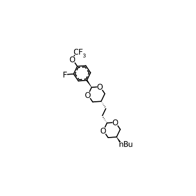 CCCC[C@H]1CO[C@H](CC[C@H]2CO[C@H](c3ccc(OC(F)(F)F)c(F)c3)OC2)OC1